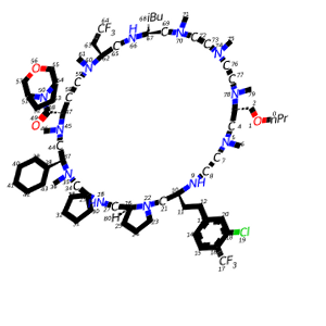 CCCOC[C@@H]1CN(C)CCN[C@@H](CCc2ccc(C(F)(F)F)c(Cl)c2)CN2CCC[C@H]2CNC2(CCCC2)CN(C)[C@@H](C2CCCCC2)CN(C)[C@H](C(=O)N2C3CCC2COC3)CCN(C)[C@@H](CC(F)(F)F)CN[C@@H]([C@@H](C)CC)CN(C)CCN(C)CCN1C